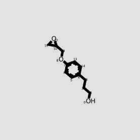 OCCCc1ccc(OCC2CO2)cc1